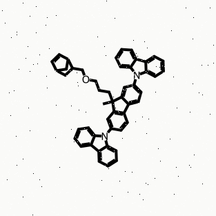 CC1(CCCOCC2CC3C=CC2C3)c2cc(-n3c4ccccc4c4ccccc43)ccc2-c2ccc(-n3c4ccccc4c4ccccc43)cc21